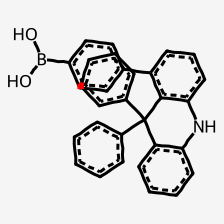 OB(O)c1ccc(-c2cccc3c2C(c2ccccc2)(c2ccccc2)c2ccccc2N3)cc1